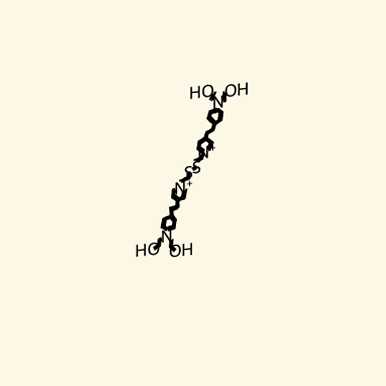 OCCN(CCO)c1ccc(/C=C/c2cc[n+](CCSSCC[n+]3ccc(CCc4ccc(N(CCO)CCO)cc4)cc3)cc2)cc1